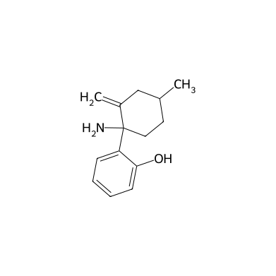 C=C1CC(C)CCC1(N)c1ccccc1O